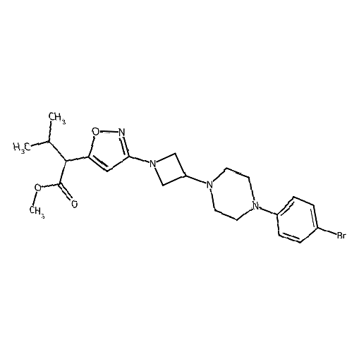 COC(=O)C(c1cc(N2CC(N3CCN(c4ccc(Br)cc4)CC3)C2)no1)C(C)C